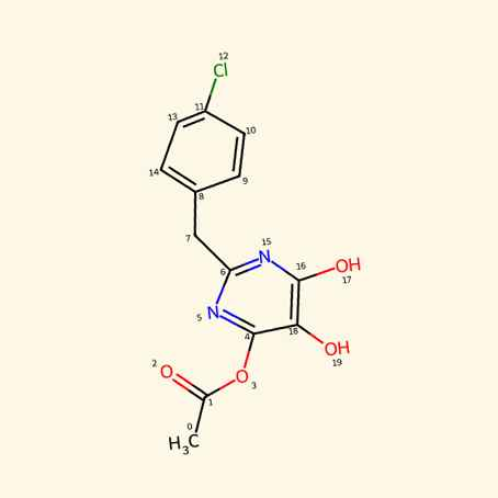 CC(=O)Oc1nc(Cc2ccc(Cl)cc2)nc(O)c1O